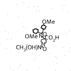 COc1ccc(-c2oc(C3(C(=O)O)CCN(C(=O)N(C)O)CC3)nc2-c2ccccc2OC)cc1